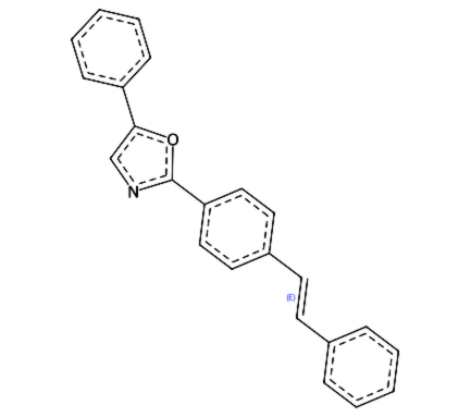 C(=C\c1ccc(-c2ncc(-c3ccccc3)o2)cc1)/c1ccccc1